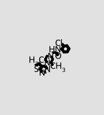 CC1CN(CC(=O)Nc2ccccc2Cl)CC(C)N1c1ncnc2sccc12